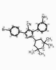 CC1(C)CC(n2nc(-c3ccc(Br)cc3)c(C#N)c2-c2cccc(N)c2)CC(C)(C)O1